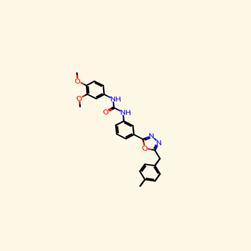 COc1ccc(NC(=O)Nc2cccc(-c3nnc(Cc4ccc(C)cc4)o3)c2)cc1OC